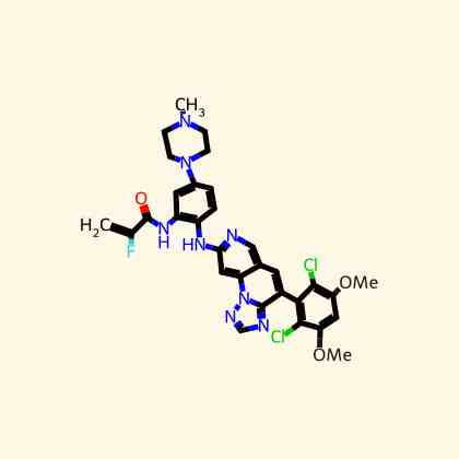 C=C(F)C(=O)Nc1cc(N2CCN(C)CC2)ccc1Nc1cc2c(cn1)cc(-c1c(Cl)c(OC)cc(OC)c1Cl)c1ncnn12